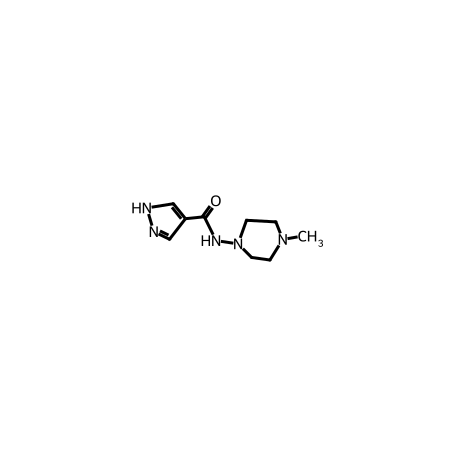 CN1CCN(NC(=O)c2cn[nH]c2)CC1